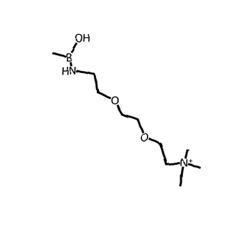 CB(O)NCCOCCOCC[N+](C)(C)C